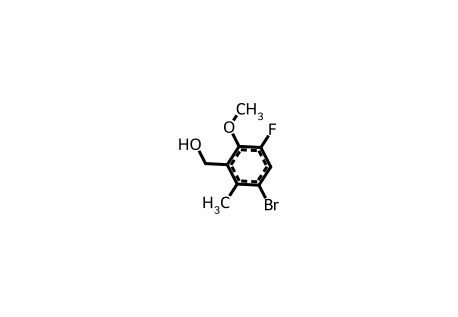 COc1c(F)cc(Br)c(C)c1CO